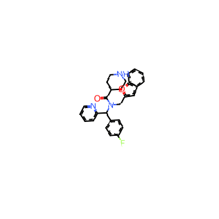 O=C(C1CCNCC1)N(Cc1cc2ccccc2o1)C(c1ccc(F)cc1)c1ccccn1